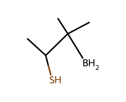 BC(C)(C)C(C)S